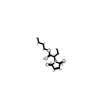 CCCCOC(=O)C(CC)N1C(=O)C=CC1=O